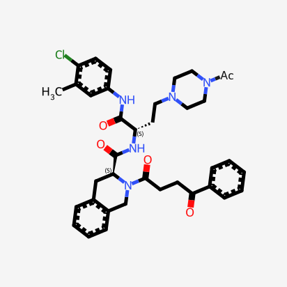 CC(=O)N1CCN(CC[C@H](NC(=O)[C@@H]2Cc3ccccc3CN2C(=O)CCC(=O)c2ccccc2)C(=O)Nc2ccc(Cl)c(C)c2)CC1